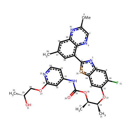 COc1cnc2c(-c3nc4cc(F)c(O[C@@H](C)[C@@H](C)OC(=O)Nc5ccnc(OC[C@@H](C)O)c5)cc4s3)cc(C)cc2n1